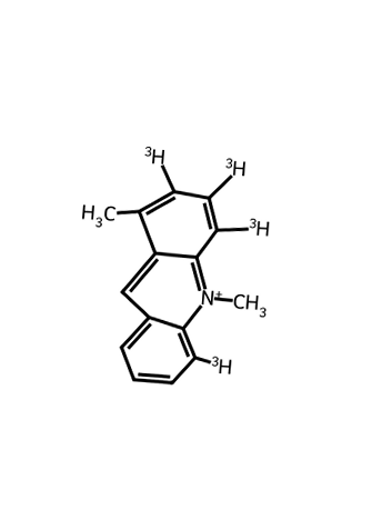 [3H]c1c([3H])c([3H])c2c(cc3cccc([3H])c3[n+]2C)c1C